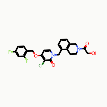 O=C(CO)N1CCc2c(cccc2Cn2ccc(OCc3ccc(F)cc3F)c(Cl)c2=O)C1